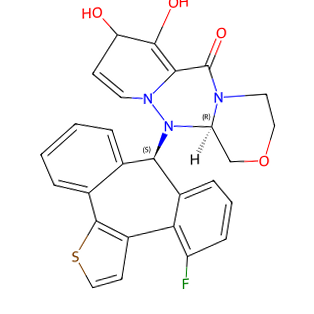 O=C1C2=C(O)C(O)C=CN2N([C@@H]2c3ccccc3-c3sccc3-c3c(F)cccc32)[C@@H]2COCCN12